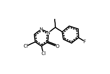 CC(c1ccc(F)cc1)n1ncc(Cl)c(Cl)c1=O